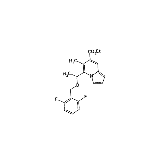 CCOC(=O)c1cc2cccn2c(C(C)OCc2c(F)cccc2F)c1C